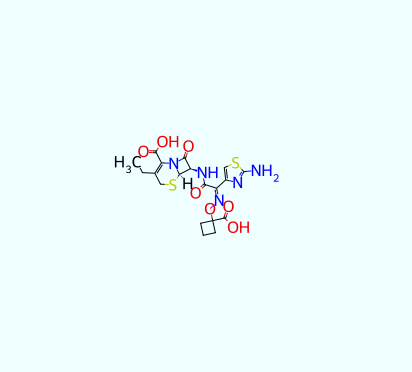 CCC1=C(C(=O)O)N2C(=O)[C@@H](NC(=O)/C(=N\OC3(C(=O)O)CCC3)c3csc(N)n3)[C@H]2SC1